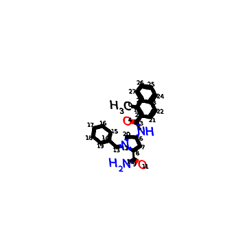 Cc1c(C(=O)N[C@H]2C[C@@H](C(N)=O)N(CC3CCCCC3)C2)ccc2ccccc12